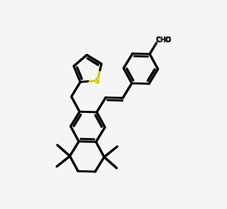 CC1(C)CCC(C)(C)c2cc(Cc3cccs3)c(/C=C/c3ccc(C=O)cc3)cc21